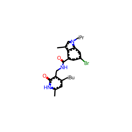 CCC(C)c1cc(C)[nH]c(=O)c1CNC(=O)c1cc(Br)cc2c1c(C)cn2C(C)C